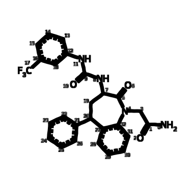 NC(=O)CN1C(=O)C(NC(=O)Nc2cccc(C(F)(F)F)c2)CC(c2ccccc2)c2ccccc21